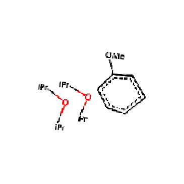 CC(C)OC(C)C.CC(C)OC(C)C.COc1ccccc1